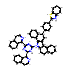 c1ccc2c(-c3nc(-c4nccc5ccccc45)nc(-n4c5ccc6ccccc6c5c5cc(-c6ccc(-c7nc8ccccc8s7)cc6)c6ccccc6c54)n3)nccc2c1